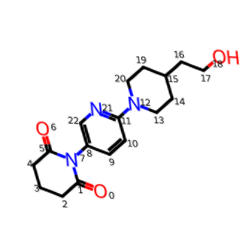 O=C1CCCC(=O)N1c1ccc(N2CCC(CCO)CC2)nc1